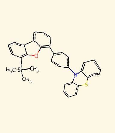 C[Si](C)(C)c1cccc2c1oc1c(-c3ccc(N4c5ccccc5Sc5ccccc54)cc3)cccc12